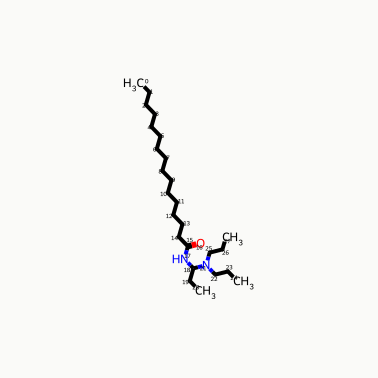 CCCCCCCCCCCCCCCC(=O)NC(CC)N(CCC)CCC